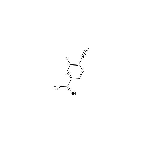 [C-]#[N+]c1ccc(C(=N)N)cc1C